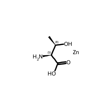 C[C@@H](O)[C@H](N)C(=O)O.[Zn]